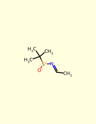 CC=N[S+]([O-])C(C)(C)C